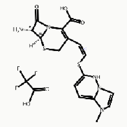 CN1C=CN2NC(S/C=C\C3=C(C(=O)O)N4C(=O)[C@@H](N)[C@@H]4SC3)=CC=C12.O=C(O)C(F)(F)F